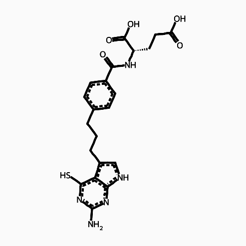 Nc1nc(S)c2c(CCCc3ccc(C(=O)N[C@@H](CCC(=O)O)C(=O)O)cc3)c[nH]c2n1